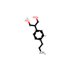 CCCc1ccc(C(CO)CO)cc1